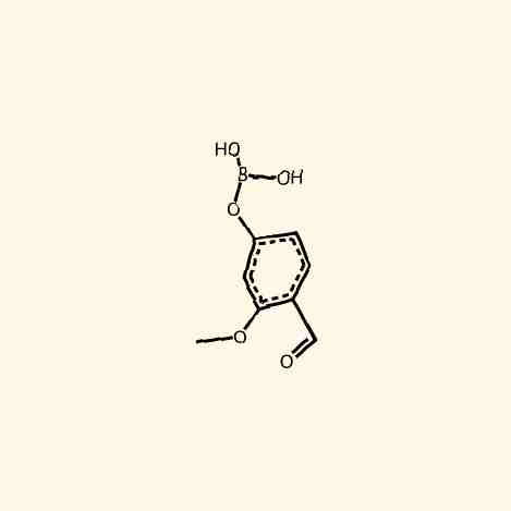 COc1cc(OB(O)O)ccc1C=O